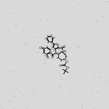 CC(C)(C)OC(=O)ON1CCCC(N(C(=O)c2ccc(Cl)cc2Cl)c2cc(-c3ccccc3)sc2C(=O)O)CC1